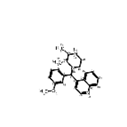 COc1cccc(C(c2ccnc3ccccc23)N2CCN[C@H](C)[C@H]2C)c1